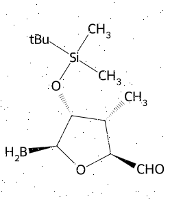 B[C@@H]1O[C@H](C=O)[C@@H](C)[C@H]1O[Si](C)(C)C(C)(C)C